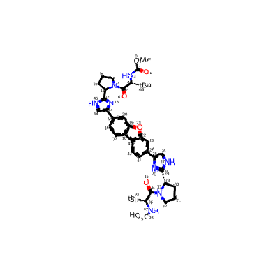 COC(=O)N[C@H](C(=O)N1CCCC1c1nc(-c2ccc3c(c2)oc2cc(-c4c[nH]c([C@@H]5CCCN5C(=O)[C@@H](NC(=O)O)C(C)(C)C)n4)ccc23)c[nH]1)C(C)(C)C